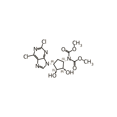 COC(=O)N(C(=O)OC)[C@H]1C[C@@H](n2cnc3c(Cl)nc(Cl)nc32)[C@H](O)[C@@H]1O